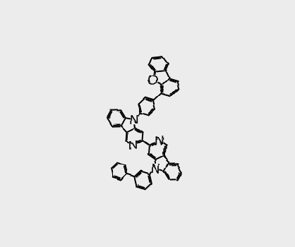 c1ccc(-c2cccc(-n3c4ccccc4c4cnc(-c5cc6c(cn5)c5ccccc5n6-c5ccc(-c6cccc7c6oc6ccccc67)cc5)cc43)c2)cc1